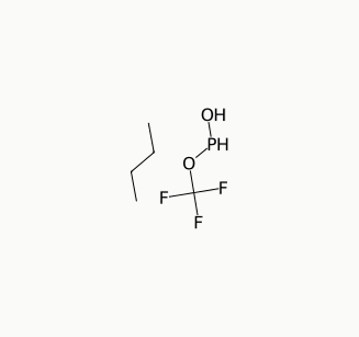 CCCC.OPOC(F)(F)F